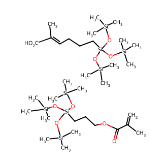 C=C(C)C(=O)OCCC[Si](O[Si](C)(C)C)(O[Si](C)(C)C)O[Si](C)(C)C.CC(=CCCC[Si](O[Si](C)(C)C)(O[Si](C)(C)C)O[Si](C)(C)C)C(=O)O